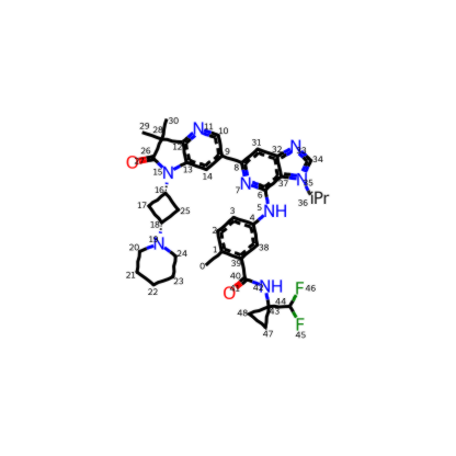 Cc1ccc(Nc2nc(-c3cnc4c(c3)N([C@H]3C[C@@H](N5CCCCC5)C3)C(=O)C4(C)C)cc3ncn(C(C)C)c23)cc1C(=O)NC1(C(F)F)CC1